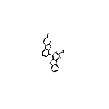 C=C/C=C\c1c(C)oc2c(-c3nc(Cl)nc4c3sc3ccccc34)cccc12